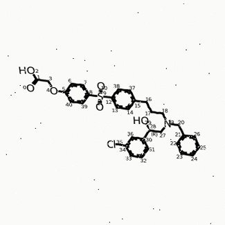 O=C(O)COc1ccc(S(=O)(=O)c2ccc(CCCN(Cc3ccccc3)C[C@H](O)c3cccc(Cl)c3)cc2)cc1